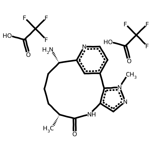 C[C@@H]1CCC[C@H](N)c2cc(ccn2)-c2c(cnn2C)NC1=O.O=C(O)C(F)(F)F.O=C(O)C(F)(F)F